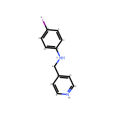 Ic1ccc(NCc2ccncc2)cc1